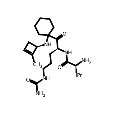 CC1=CC[C@H]1NC1(C(=O)[C@H](CCCNC(N)=O)NC(=O)[C@@H](N)C(C)C)CCCCC1